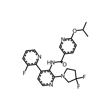 CC(C)Oc1ccc(C(=O)Nc2c(-c3ncccc3F)ccnc2N2CCC(F)(F)C2)cn1